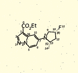 CCOC(=O)c1cnn2ccc(N3C[C@H](F)C[C@@H]3C)cc12